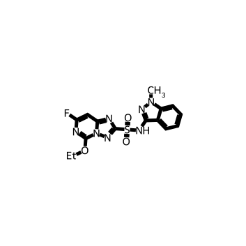 CCOc1nc(F)cc2nc(S(=O)(=O)Nc3nn(C)c4ccccc34)nn12